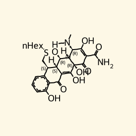 CCCCCCSC[C@@H]1c2cccc(O)c2C(=O)C2=C(O)[C@@]3(O)C(=O)C(C(N)=O)=C(O)[C@H](N(C)C)[C@H]3[C@H](O)[C@H]21